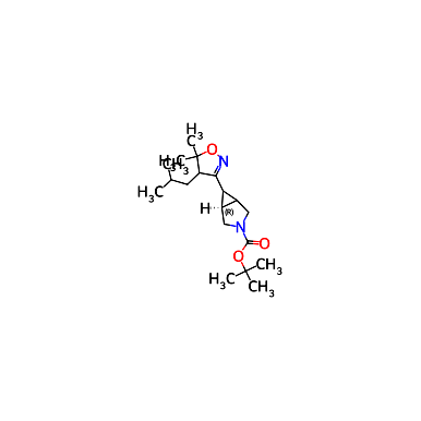 CC(C)CC1C(C2C3CN(C(=O)OC(C)(C)C)C[C@H]32)=NOC1(C)C